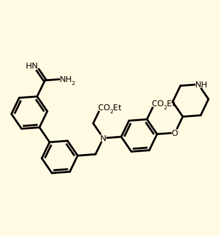 CCOC(=O)CN(Cc1cccc(-c2cccc(C(=N)N)c2)c1)c1ccc(OC2CCNCC2)c(C(=O)OCC)c1